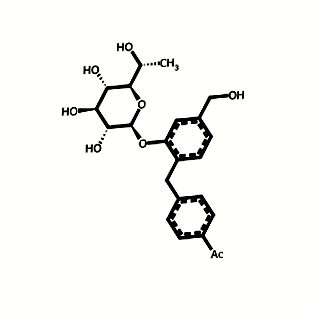 CC(=O)c1ccc(Cc2ccc(CO)cc2O[C@@H]2O[C@H]([C@@H](C)O)[C@@H](O)[C@H](O)[C@H]2O)cc1